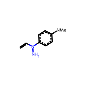 C=CN(N)c1ccc(NC)cc1